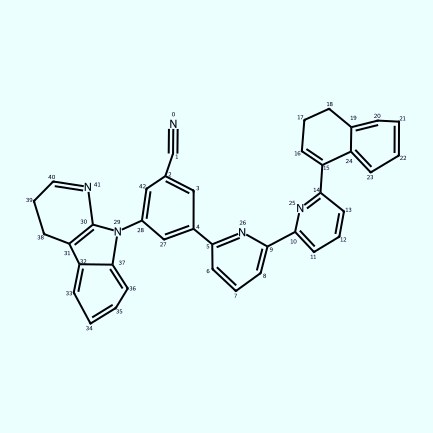 N#Cc1cc(-c2cccc(-c3cccc(C4=CCCc5ccccc54)n3)n2)cc(-n2c3c(c4ccccc42)CCC=N3)c1